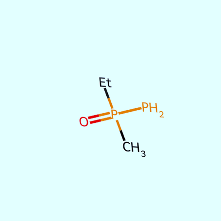 CCP(C)(=O)P